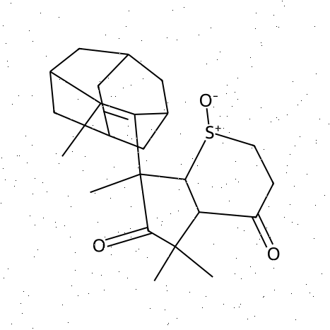 CC1=C(C2(C)C(=O)C(C)(C)C3C(=O)CC[S+]([O-])C32)C2CC3CC(CC1C3)C2